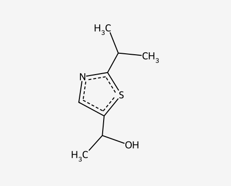 CC(C)c1ncc(C(C)O)s1